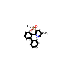 Cc1cnc(-c2ccccc2-c2ccccc2)c(S(C)(=O)=O)c1